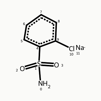 NS(=O)(=O)c1ccccc1Cl.[Na]